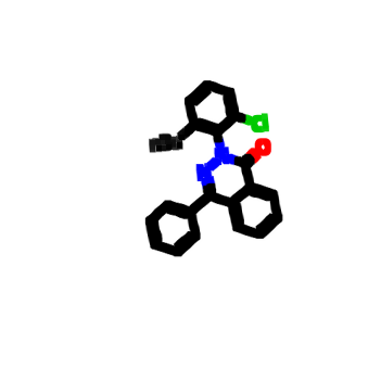 CCCCc1cccc(Cl)c1-n1nc(-c2ccccc2)c2ccccc2c1=O